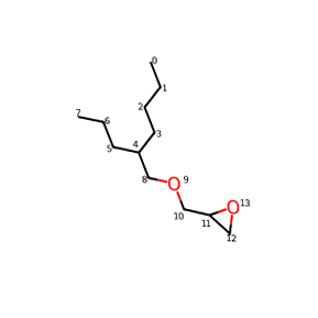 CCCCC(CCC)COCC1CO1